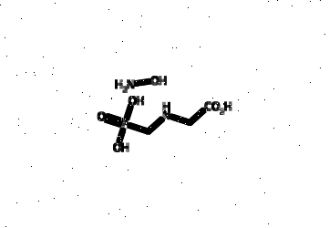 NO.O=C(O)CNCP(=O)(O)O